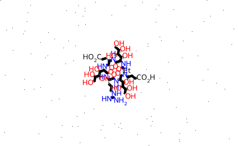 CCC(=O)N[C@H](C(=O)N[C@@H](CCC(=O)O)C(=O)N[C@H](C(=O)N[C@@H](CCCNC(=N)N)C(=O)N[C@H](C(=O)N[C@H](C)CCC(=O)O)[C@@H](O)[C@H](O)[C@H](O)CO)[C@@H](O)[C@H](O)[C@H](O)CO)[C@@H](O)[C@H](O)[C@H](O)CO